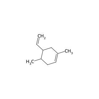 C=CC1CC(C)=CCC1C